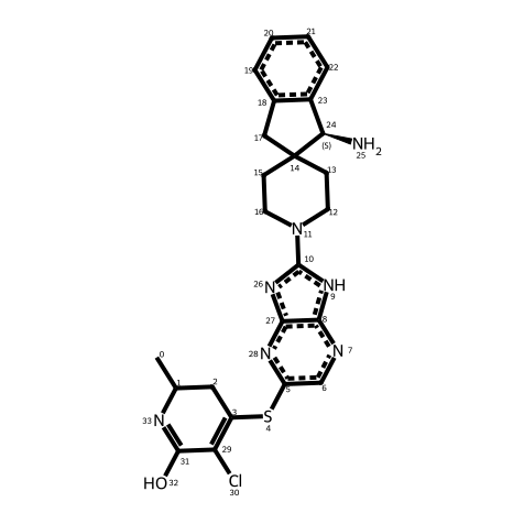 CC1CC(Sc2cnc3[nH]c(N4CCC5(CC4)Cc4ccccc4[C@H]5N)nc3n2)=C(Cl)C(O)=N1